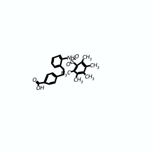 Cc1c(C)c(C)c(S(=O)(=O)Nc2ccccc2CCc2ccc(C(=O)O)cc2)c(C)c1C